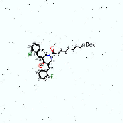 CCCCCCCCCCCCCCCCCC(=O)N1C/C(=C/c2ccccc2F)C(=O)/C(=C/c2ccccc2F)C1